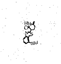 C=C1CCC(c2nc3cccc(C(C)(C)C)c3s2)C(=O)N1